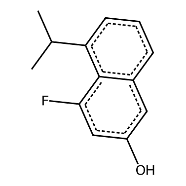 CC(C)c1cccc2cc(O)cc(F)c12